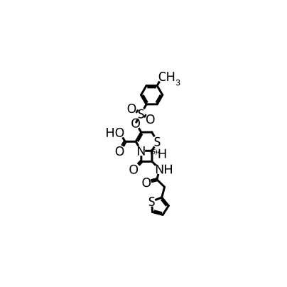 Cc1ccc(S(=O)(=O)OC2=C(C(=O)O)N3C(=O)C(NC(=O)Cc4cccs4)[C@@H]3SC2)cc1